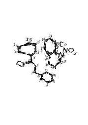 C[N+](=O)[O-].O=C(C=Cc1ccccc1)c1ccccc1.c1ccc2ncncc2c1